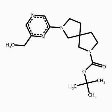 CCc1cncc(N2CCC3(CCN(C(=O)OC(C)(C)C)C3)C2)n1